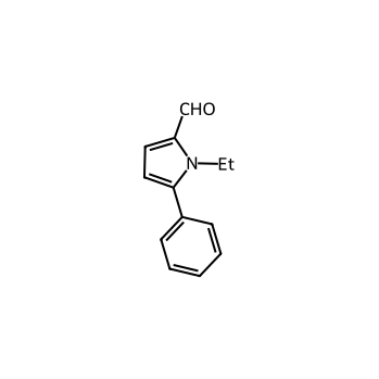 CCn1c(C=O)ccc1-c1ccccc1